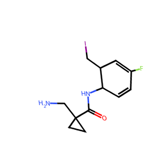 NCC1(C(=O)NC2C=CC(F)=CC2CI)CC1